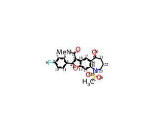 CNC(=O)c1c(-c2ccc(F)cc2)oc2cc3c(cc12)C(=O)CCCN3S(C)(=O)=O